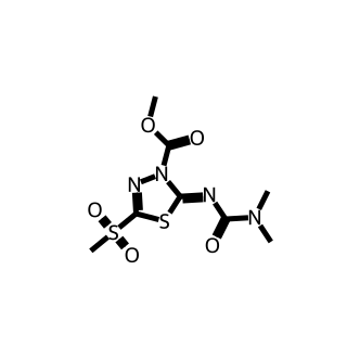 COC(=O)n1nc(S(C)(=O)=O)sc1=NC(=O)N(C)C